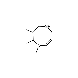 CC1CNC/C=C\N(C)C1C